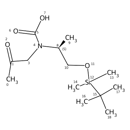 CC(=O)CN(C(=O)O)[C@@H](C)CO[Si](C)(C)C(C)(C)C